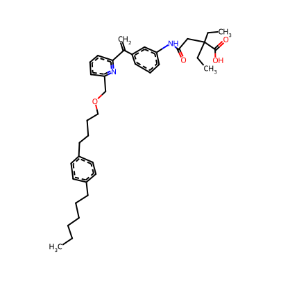 C=C(c1cccc(NC(=O)CC(CC)(CC)C(=O)O)c1)c1cccc(COCCCCc2ccc(CCCCCC)cc2)n1